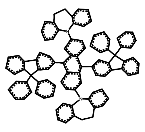 c1ccc(C2(c3ccccc3)c3ccccc3-c3ccc(-c4c5ccc(N6c7ccccc7CCc7ccccc76)cc5c(-c5ccc6c(c5)C(c5ccccc5)(c5ccccc5)c5ccccc5-6)c5ccc(N6c7ccccc7CCc7ccccc76)cc45)cc32)cc1